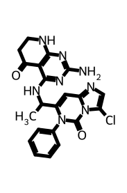 CC(Nc1nc(N)nc2c1C(=O)CCN2)c1cc2ncc(Cl)n2c(=O)n1-c1ccccc1